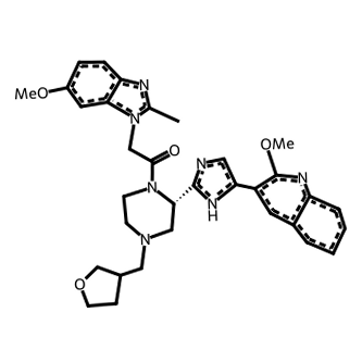 COc1ccc2nc(C)n(CC(=O)N3CCN(CC4CCOC4)C[C@H]3c3ncc(-c4cc5ccccc5nc4OC)[nH]3)c2c1